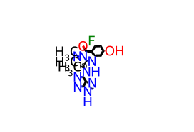 C[C@H](Nc1ncnc2[nH]cnc12)c1nc2cc(O)cc(F)c2c(=O)n1N(C)C